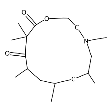 CC1CC(C)CN(C)CCOC(=O)C(C)(C)C(=O)C(C)C1